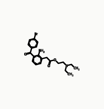 CCN(CC)CCOC(=O)Cc1cccc(C(=O)c2ccc(Br)cc2)c1N